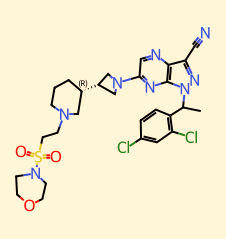 CC(c1ccc(Cl)cc1Cl)n1nc(C#N)c2ncc(N3CC([C@H]4CCCN(CCS(=O)(=O)N5CCOCC5)C4)C3)nc21